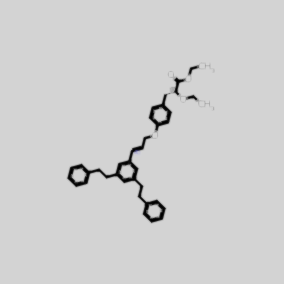 CCOC(=O)[C@H](Cc1ccc(OC/C=C/c2cc(CCc3ccccc3)cc(CCc3ccccc3)c2)cc1)OCC